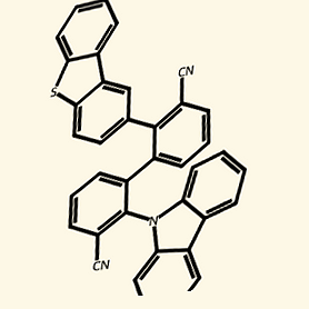 N#Cc1cccc(-c2cccc(C#N)c2-n2c3ccccc3c3ccccc32)c1-c1ccc2sc3ccccc3c2c1